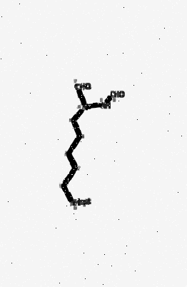 CCCCCCCCCCCCN(C=O)NC=O